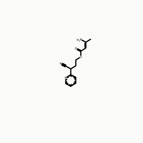 C/C(N)=C/C(=O)OCCC(C#N)c1ccccn1